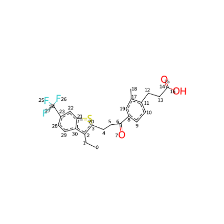 CCc1c(CCC(=O)c2ccc(CCC(=O)O)c(C)c2)sc2cc(C(F)(F)F)ccc12